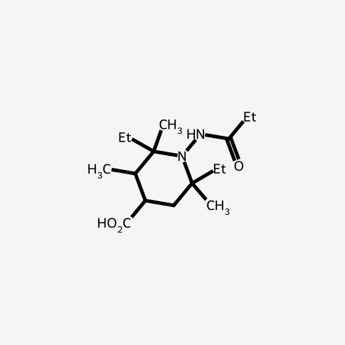 CCC(=O)NN1C(C)(CC)CC(C(=O)O)C(C)C1(C)CC